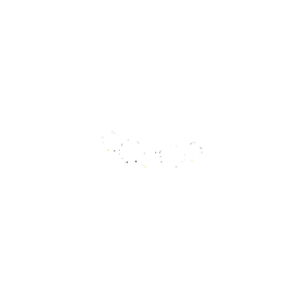 Cc1cc2cc3c(cc2s1)sc1cc2sc(C)cc2cc13